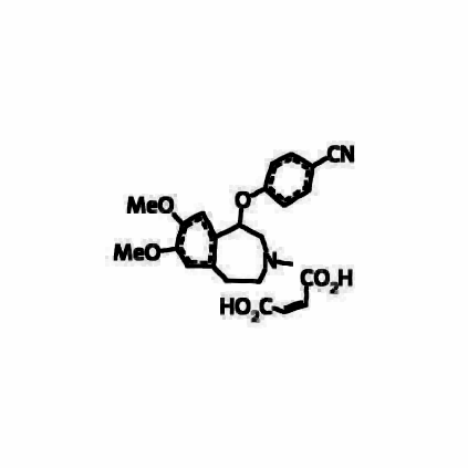 COc1cc2c(cc1OC)C(Oc1ccc(C#N)cc1)CN(C)CC2.O=C(O)/C=C\C(=O)O